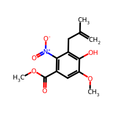 C=C(C)Cc1c(O)c(OC)cc(C(=O)OC)c1[N+](=O)[O-]